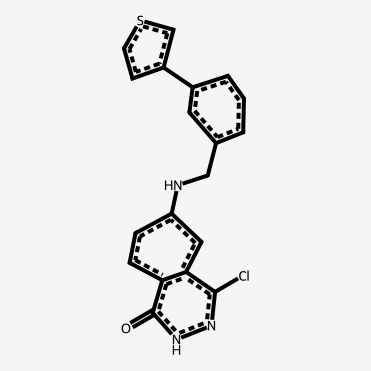 O=c1[nH]nc(Cl)c2cc(NCc3cccc(-c4ccsc4)c3)ccc12